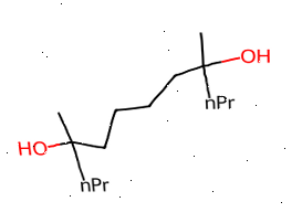 CCCC(C)(O)CCCCC(C)(O)CCC